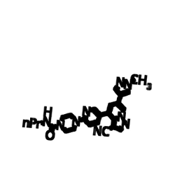 CCCNC(=O)N1CCN(c2ccc(-c3cc(-c4cnn(C)c4)cn4ncc(C#N)c34)cn2)CC1